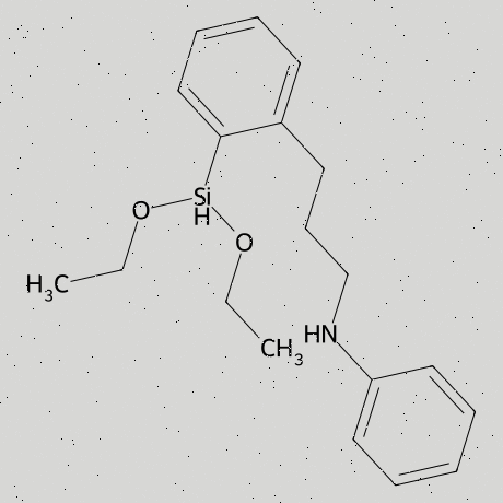 CCO[SiH](OCC)c1ccccc1CCCNc1ccccc1